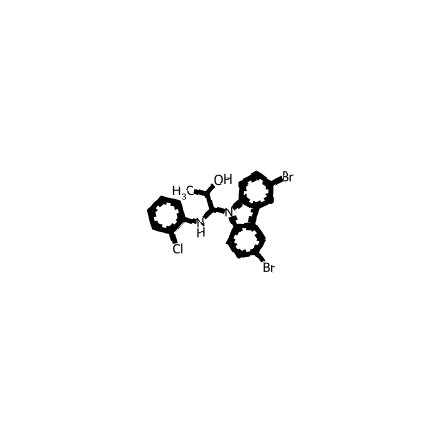 CC(O)C(Nc1ccccc1Cl)n1c2ccc(Br)cc2c2cc(Br)ccc21